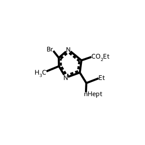 CCCCCCCC(CC)c1nc(C)c(Br)nc1C(=O)OCC